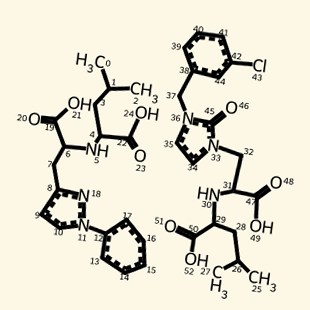 CC(C)CC(NC(Cc1ccn(-c2ccccc2)n1)C(=O)O)C(=O)O.CC(C)CC(NC(Cn1ccn(Cc2cccc(Cl)c2)c1=O)C(=O)O)C(=O)O